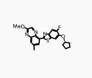 COc1cnc2c(-c3nc4cc(F)c(O[C@H]5[CH]CCC5)cc4s3)cc(C)cc2n1